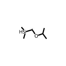 CC(C)O[CH][SiH](C)C